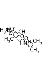 CC(=O)Oc1c(C)c(C)c2c(c1C)CCC(C(=O)Nc1cc(C)cc(C)n1)O2